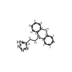 c1ccc2c(c1)Sc1ccccc1N2CCc1nnn[nH]1